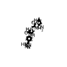 N#C[C@@H]1CC2C[C@@H]2N1C(=O)[C@@H](N)CN1C[C@@H]2C[C@H]1C(=O)N2c1ccc(-c2nnn[nH]2)cc1